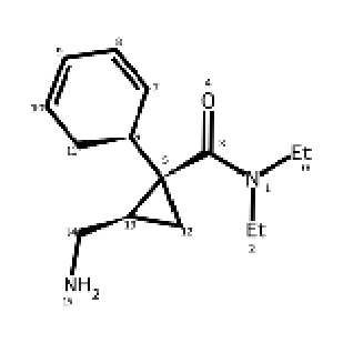 CCN(CC)C(=O)[C@@]1([C@@H]2C=CC=CC2)C[C@H]1CN